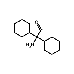 NC([C]=O)(C1CCCCC1)C1CCCCC1